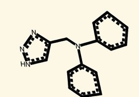 c1ccc(N(Cc2c[nH]nn2)c2ccccc2)cc1